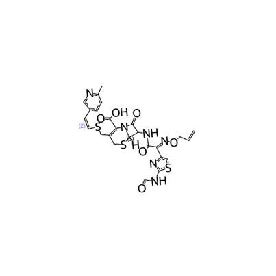 C=CCON=C(C(=O)NC1C(=O)N2C(C(=O)O)=C(CS/C=C\c3ccc(C)nc3)CS[C@@H]12)c1csc(NC=O)n1